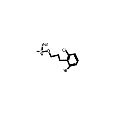 CC(C)(C)[Si](C)(C)OCCCc1c(Cl)cccc1Br